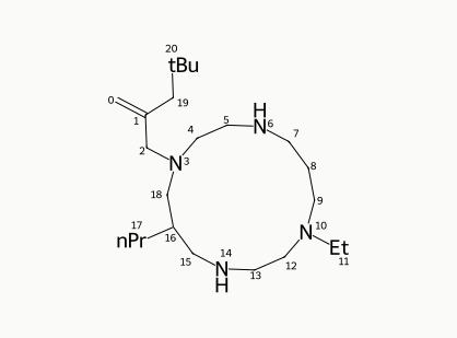 C=C(CN1CCNCCCN(CC)CCNCC(CCC)C1)CC(C)(C)C